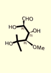 CO[C@H]([C@@H](O)[C@@H](O)C=O)C(C)(C)O